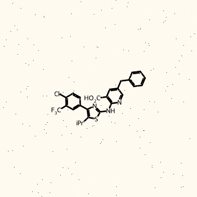 CC(C)c1sc(Nc2ncc(Cc3ccccc3)cc2C(=O)O)nc1-c1ccc(Cl)c(C(F)(F)F)c1